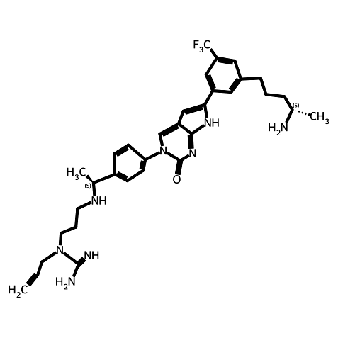 C=CCN(CCCN[C@@H](C)c1ccc(-n2cc3cc(-c4cc(CCC[C@H](C)N)cc(C(F)(F)F)c4)[nH]c3nc2=O)cc1)C(=N)N